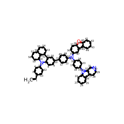 C=Cc1ccc(N2c3ccc(-c4ccc(N(c5ccc(-n6c7ccccc7c7ccncc76)cc5)c5ccc6oc7ccccc7c6c5)cc4)cc3-c3cccc4cccc2c34)cc1